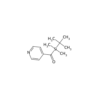 CC(C)(C)[Si](C)(C)C(=O)c1ccncc1